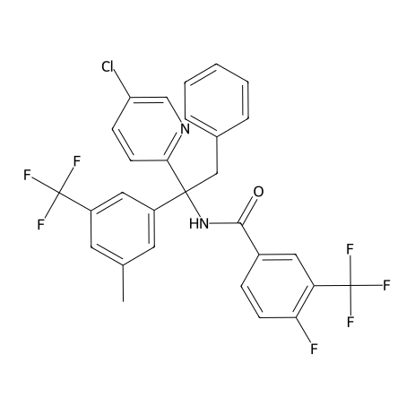 Cc1cc(C(F)(F)F)cc(C(Cc2ccccc2)(NC(=O)c2ccc(F)c(C(F)(F)F)c2)c2ccc(Cl)cn2)c1